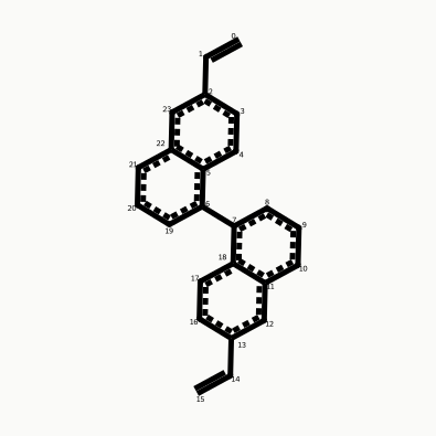 C=Cc1ccc2c(-c3[c]ccc4cc(C=C)ccc34)[c]ccc2c1